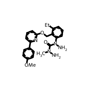 CCc1cccc(N(N)C(=O)N(C)N)c1COc1cccc(-c2ccc(OC)cc2)n1